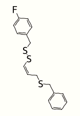 Fc1ccc(CSS/C=C\CSCc2ccccc2)cc1